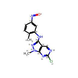 Cc1ccc(N=O)cc1Nc1nn(C)c2nc(Cl)ncc12